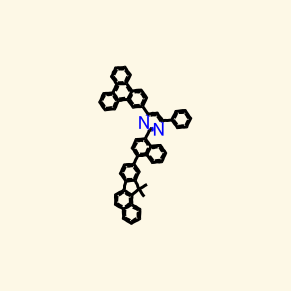 CC1(C)c2cc(-c3ccc(-c4nc(-c5ccccc5)cc(-c5ccc6c7ccccc7c7ccccc7c6c5)n4)c4ccccc34)ccc2-c2ccc3ccccc3c21